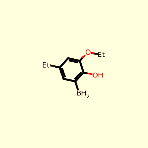 Bc1cc(CC)cc(OCC)c1O